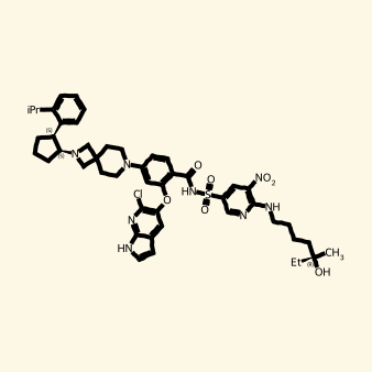 CC[C@@](C)(O)CCCCNc1ncc(S(=O)(=O)NC(=O)c2ccc(N3CCC4(CC3)CN([C@H]3CCC[C@H]3c3ccccc3C(C)C)C4)cc2Oc2cc3cc[nH]c3nc2Cl)cc1[N+](=O)[O-]